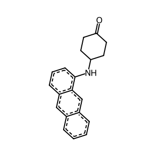 O=C1CCC(Nc2cccc3cc4ccccc4cc23)CC1